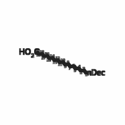 CCCCCCCCCCCCCCC=CCCCCCCCCCCCCCC(=O)O